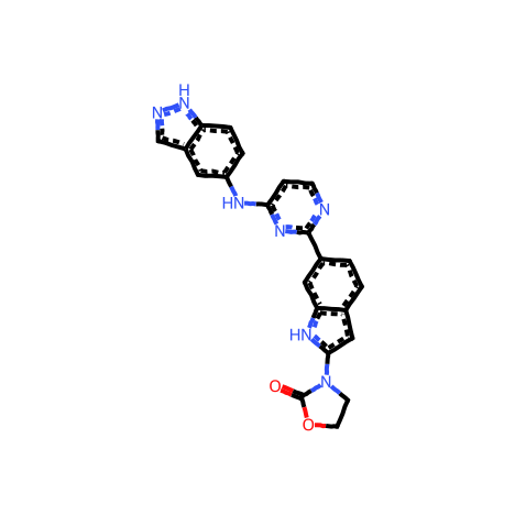 O=C1OCCN1c1cc2ccc(-c3nccc(Nc4ccc5[nH]ncc5c4)n3)cc2[nH]1